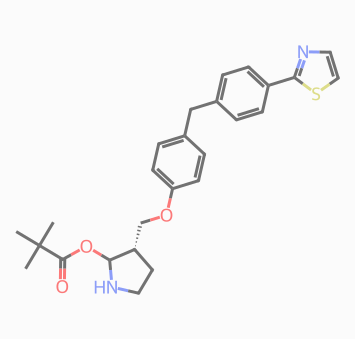 CC(C)(C)C(=O)OC1NCC[C@H]1COc1ccc(Cc2ccc(-c3nccs3)cc2)cc1